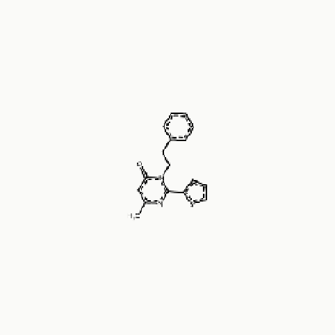 Cc1cc(=O)n(CCc2ccccc2)c(-c2cccs2)n1